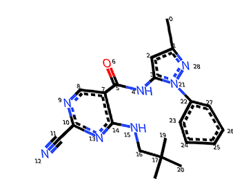 Cc1cc(NC(=O)c2cnc(C#N)nc2NCC(C)(C)C)n(-c2ccccc2)n1